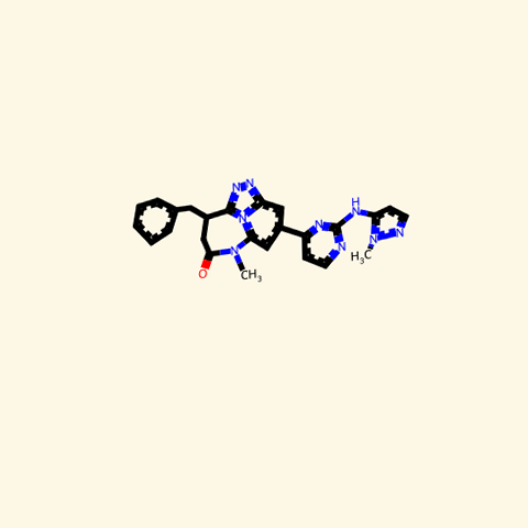 CN1C(=O)CC(Cc2ccccc2)c2nnc3cc(-c4ccnc(Nc5ccnn5C)n4)cc1n23